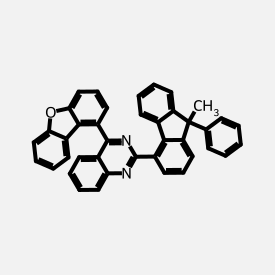 CC1(c2ccccc2)c2ccccc2-c2c(-c3nc(-c4cccc5oc6ccccc6c45)c4ccccc4n3)cccc21